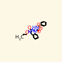 C=CCON1C(=O)N2CC1c1ccccc1N2C(=O)NS(=O)(=O)c1ccccc1